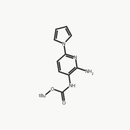 CC(C)(C)OC(=O)Nc1ccc(-n2cccc2)nc1N